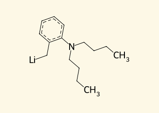 [Li][CH2]c1ccccc1N(CCCC)CCCC